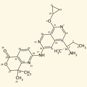 CC[C@@](C)(N)c1cnc(OC2CC2)c2cnc(Nc3ccc4c(n3)C(C)(C)COC4=O)cc12